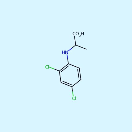 CC(Nc1ccc(Cl)cc1Cl)C(=O)O